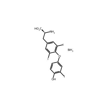 N[C@@H](Cc1cc(I)c(Oc2ccc(O)c(I)c2)c(I)c1)C(=O)O.[BiH3]